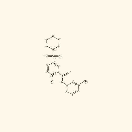 Cc1cccc(NC(=O)c2cc(S(=O)(=O)N3CCCCC3)ccc2Cl)c1